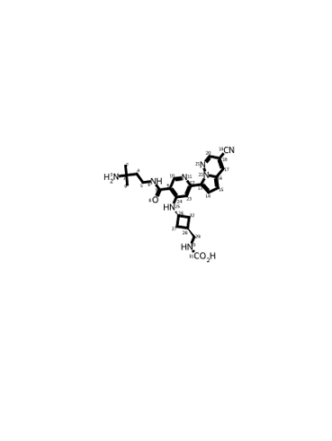 CC(C)(N)CCNC(=O)c1cnc(-c2ccc3cc(C#N)cnn23)cc1N[C@H]1C[C@H](CNC(=O)O)C1